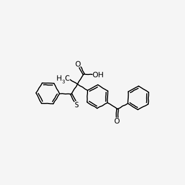 CC(C(=O)O)(C(=S)c1ccccc1)c1ccc(C(=O)c2ccccc2)cc1